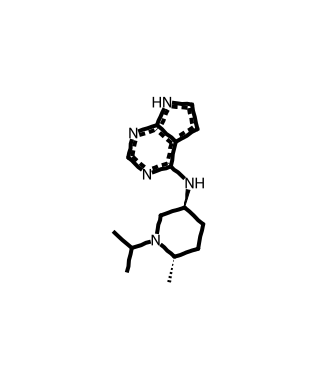 CC(C)N1C[C@@H](Nc2ncnc3[nH]ccc23)CC[C@@H]1C